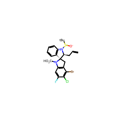 C=CC[C@H](N[S+]([O-])C(C)(C)C)[C@@]1(c2ccccc2)Cc2c(cc(F)c(Cl)c2Br)N1C(=O)O